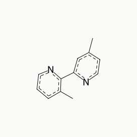 Cc1ccnc(-c2ncccc2C)c1